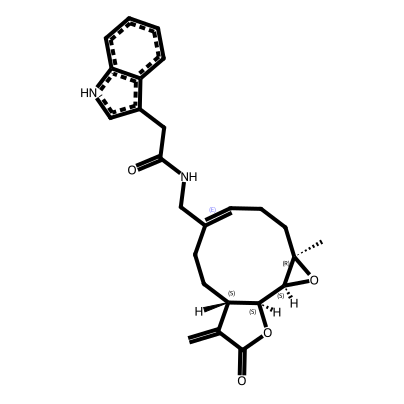 C=C1C(=O)O[C@H]2[C@H]1CC/C(CNC(=O)Cc1c[nH]c3ccccc13)=C\CC[C@@]1(C)O[C@@H]21